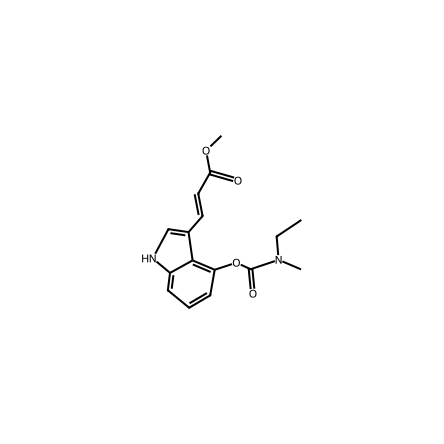 CCN(C)C(=O)Oc1cccc2[nH]cc(C=CC(=O)OC)c12